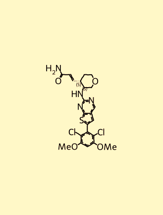 COc1cc(OC)c(Cl)c(-c2cc3cnc(N[C@@H]4COCC[C@H]4C=CC(N)=O)nc3s2)c1Cl